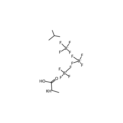 CC(C)C.CCC(=O)O.F[B-](F)(F)F.F[B-](F)(F)F.F[B-](F)(F)F.[KH]